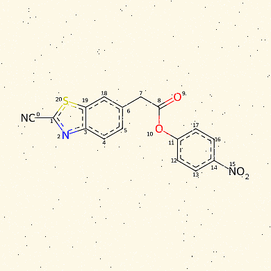 N#Cc1nc2ccc(CC(=O)Oc3ccc([N+](=O)[O-])cc3)cc2s1